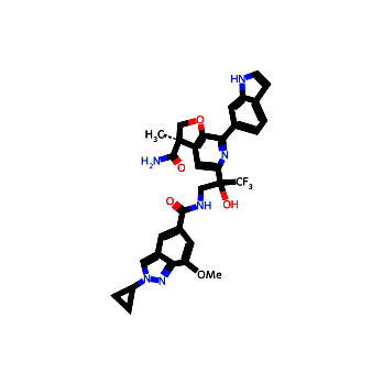 COc1cc(C(=O)NCC(O)(c2cc3c(c(-c4ccc5cc[nH]c5c4)n2)OC[C@]3(C)C(N)=O)C(F)(F)F)cc2cn(C3CC3)nc12